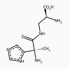 C[C@@](N)(C(=O)NC[C@H](N)C(=O)O)c1cnc[nH]1